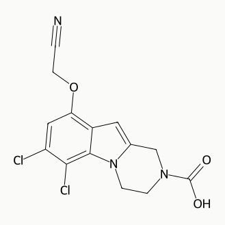 N#CCOc1cc(Cl)c(Cl)c2c1cc1n2CCN(C(=O)O)C1